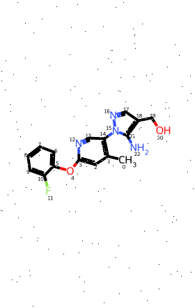 Cc1cc(Oc2ccccc2F)ncc1-n1ncc(CO)c1N